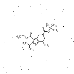 CCOC(=O)c1c2c(nn1C(C)C)[C@H](C)CN(C(=O)OC(C)(C)C)C2